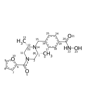 C[C@@H]1CN(C(=O)c2ccco2)C[C@H](C)N1Cc1ccc(C(=O)NO)cc1